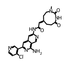 CN1CC/C(=C/C(=O)Nc2cc3cc(-c4cnccc4Cl)nc(N)c3cn2)CCC(=O)NC1=O